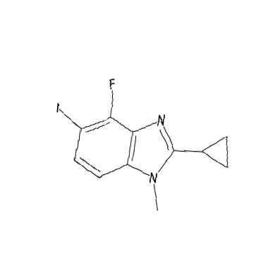 Cn1c(C2CC2)nc2c(F)c(I)ccc21